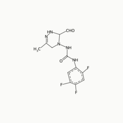 CC1=NNC(C=O)N(NC(=O)Nc2cc(F)c(F)cc2F)C1